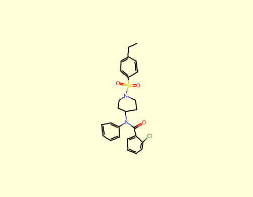 CCc1ccc(S(=O)(=O)N2CCC(N(C(=O)c3ccccc3Cl)c3ccccc3)CC2)cc1